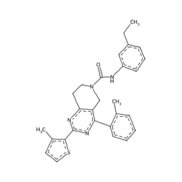 CCc1cccc(NC(=O)N2CCc3nc(-c4sccc4C)nc(-c4ccccc4C)c3C2)c1